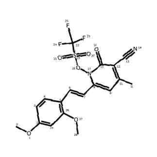 COc1ccc(C=Cc2cc(C)c(C#N)c(=O)n2OS(=O)(=O)C(F)(F)F)c(OC)c1